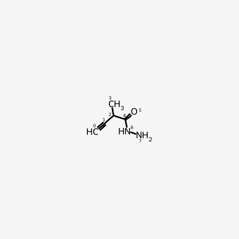 C#CC(C)C(=O)NN